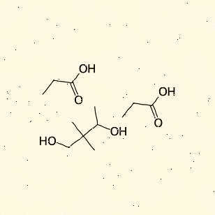 CC(O)C(C)(C)CO.CCC(=O)O.CCC(=O)O